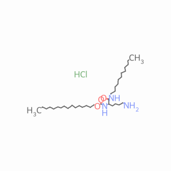 CCCCCCCCCCCCCCCCOC(=O)NC(CCCCN)C(=O)NCCCCCCCCCCCC.Cl